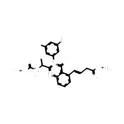 CC(NC(=O)OC(C)(C)C)c1nc2cccc(/C=C/CC(=O)OC(C)(C)C)c2c(=O)n1-c1cc(F)cc(F)c1